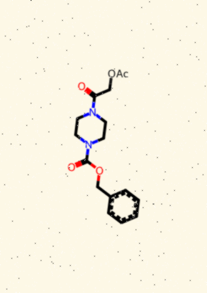 CC(=O)OCC(=O)N1CCN(C(=O)OCc2ccccc2)CC1